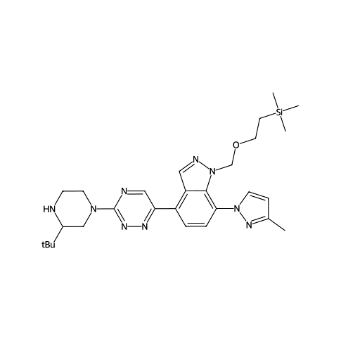 Cc1ccn(-c2ccc(-c3cnc(N4CCNC(C(C)(C)C)C4)nn3)c3cnn(COCC[Si](C)(C)C)c23)n1